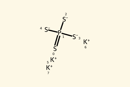 S=P([S-])([S-])[S-].[K+].[K+].[K+]